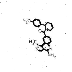 Cn1ncc2c(N)nc3ccc(C(=O)N4CC=CCC4c4ccc(C(F)(F)F)cc4)cc3c21